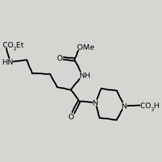 CCOC(=O)NCCCCC(NC(=O)OC)C(=O)N1CCN(C(=O)O)CC1